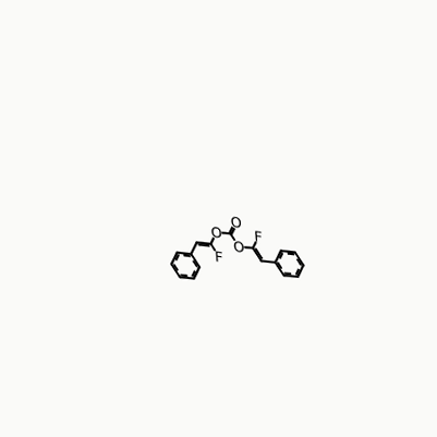 O=C(OC(F)=Cc1ccccc1)OC(F)=Cc1ccccc1